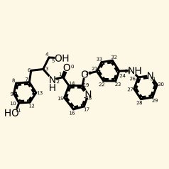 O=C(NC(CO)Cc1ccc(O)cc1)c1cccnc1Oc1ccc(Nc2ccccn2)cc1